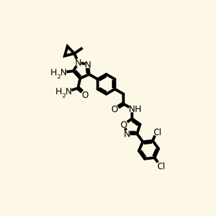 CC1(n2nc(-c3ccc(CC(=O)Nc4cc(-c5ccc(Cl)cc5Cl)no4)cc3)c(C(N)=O)c2N)CC1